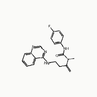 C=C(CCNc1ncnc2ccccc12)C(C)C(=O)Nc1ccc(F)cc1